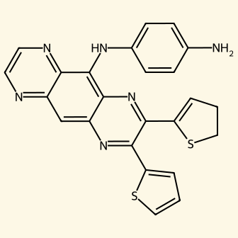 Nc1ccc(Nc2c3nccnc3cc3nc(-c4cccs4)c(C4=CCCS4)nc23)cc1